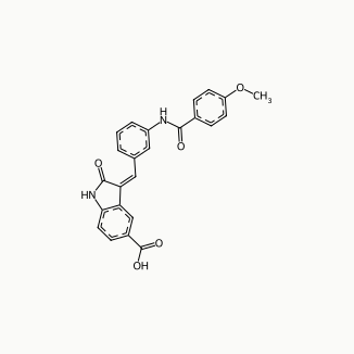 COc1ccc(C(=O)Nc2cccc(C=C3C(=O)Nc4ccc(C(=O)O)cc43)c2)cc1